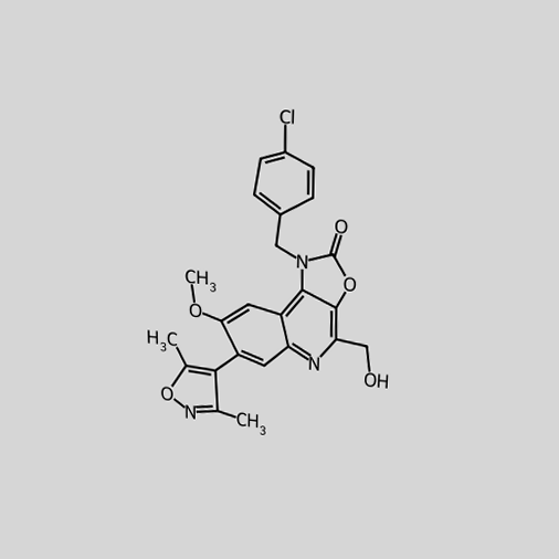 COc1cc2c(cc1-c1c(C)noc1C)nc(CO)c1oc(=O)n(Cc3ccc(Cl)cc3)c12